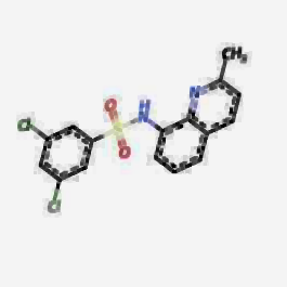 Cc1ccc2cccc(NS(=O)(=O)c3cc(Cl)cc(Cl)c3)c2n1